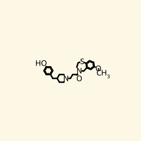 COc1ccc2c(c1)CN(C(=O)CCN1CCC(Cc3ccc(O)cc3)CC1)CCS2